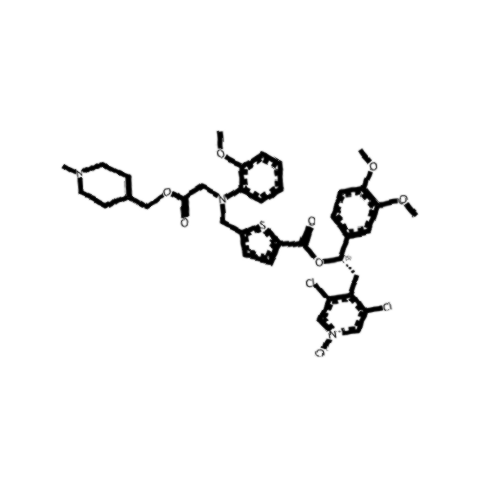 COc1ccc([C@H](Cc2c(Cl)c[n+]([O-])cc2Cl)OC(=O)c2ccc(CN(CC(=O)OCC3CCN(C)CC3)c3ccccc3OC)s2)cc1OC